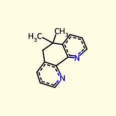 CC1(C)Cc2cccnc2-c2ncccc21